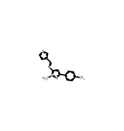 Cn1nc(-c2ccc(C(F)(F)F)cc2)cc1N=Cc1ccsc1